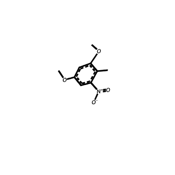 COc1cc(OC)c(C)c([N+](=O)[O-])c1